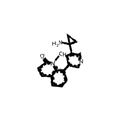 Cn1c(=O)ccc2cccc(-c3cncc(C4(N)CC4)c3)c21